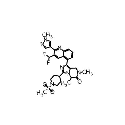 CC1C(=O)N(C)Cc2c(-c3cccc4nc(-c5cnn(C)c5)c(C(F)F)cc34)nc(C3CCN(S(C)(=O)=O)CC3)n21